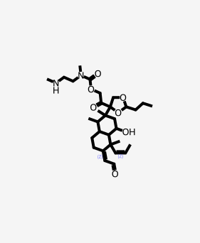 C/C=C\C1(C)/C(=C\C=O)CCC2C1C(O)CC(C)(C1(C(=O)COC(=O)N(C)CCNC)COC(CCC)O1)C2C